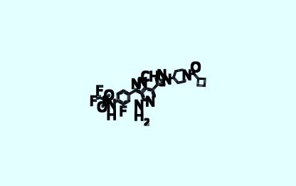 Cn1nc(-c2ccc(NS(=O)(=O)C(F)F)c(F)c2)c2c(N)ncc(-c3cnn(C4CCN(C(=O)C5CCC5)CC4)c3)c21